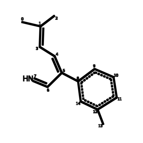 CC(C)=C/C=C(\C=N)c1cccc(C)c1